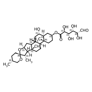 C[C@@H]1CC[C@@]2(OC1)O[C@H]1C[C@H]3[C@@H]4C[C@H](O)[C@H]5C[C@@H](OC(=O)[C@@H](O)[C@@H](O)[C@H](O)[C@@H](O)C=O)CC[C@]5(C)[C@H]4CC[C@]3(C)[C@H]1[C@@H]2C